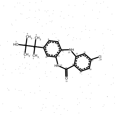 CC(C)(O)C(C)(C)c1ccc2c(c1)NC(=O)c1ccc(Cl)cc1N2